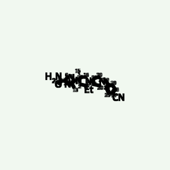 CC[C@H]1CN(c2ncc(C(N)=O)nc2C)[C@H](C)CN1C1CCN(Cc2ccc(C#N)cc2)CC1